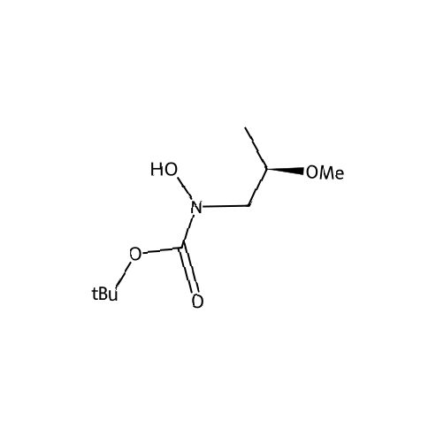 CO[C@H](C)CN(O)C(=O)OC(C)(C)C